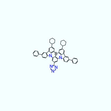 c1ccc(-c2ccc3c(c2)c2cc(C4CCCCC4)cc4c2n3-c2cc(-c3ncncn3)cc3c2B4c2cc(C4CCCCC4)cc4c5cc(-c6ccccc6)ccc5n-3c24)cc1